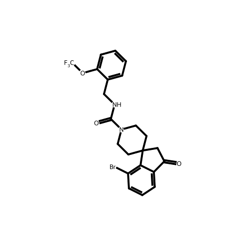 O=C1CC2(CCN(C(=O)NCc3ccccc3OC(F)(F)F)CC2)c2c(Br)cccc21